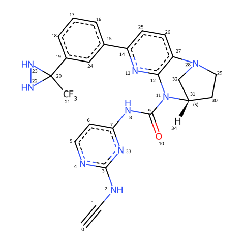 C#CNc1nccc(NC(=O)N2c3nc(-c4cccc(C5(C(F)(F)F)NN5)c4)ccc3N3CC[C@H]2C3)n1